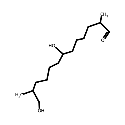 CC(C=O)CCCCC(O)CCCCC(C)CO